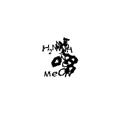 COc1cc(-c2cccc3cc([C@H](C)Nc4nc(N)ncc4C(=O)N4CC4)n(-c4ccccc4)c(=O)c23)ccn1